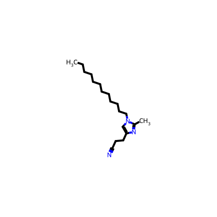 CCCCCCCCCCCCn1cc(CCC#N)nc1C